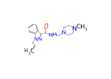 C=CCn1nc(C(=O)NCCN2CCN(C)CC2)c2ccccc21